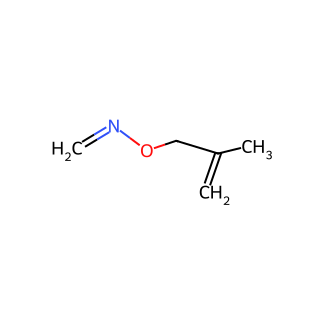 C=NOCC(=C)C